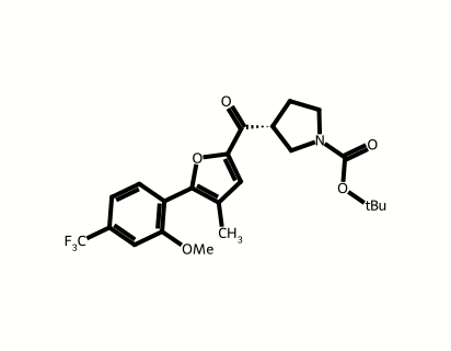 COc1cc(C(F)(F)F)ccc1-c1oc(C(=O)[C@@H]2CCN(C(=O)OC(C)(C)C)C2)cc1C